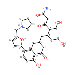 NC(=O)CC(=O)C(CO)C(CCO)CC1CC(=O)c2c(O)ccc(-c3ccc(CN4CCCC4)o3)c2C1